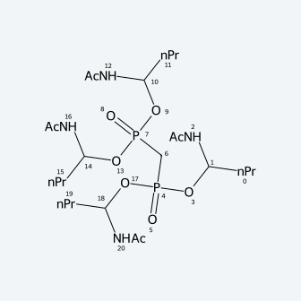 CCCC(NC(C)=O)OP(=O)(CP(=O)(OC(CCC)NC(C)=O)OC(CCC)NC(C)=O)OC(CCC)NC(C)=O